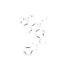 CCn1cc(-c2ccnn2C)c(=O)c2cc(NC3Cc4ccccc4C3)cnc21